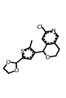 Cc1sc(C2OCCO2)cc1C1OCCc2cnc(Cl)cc21